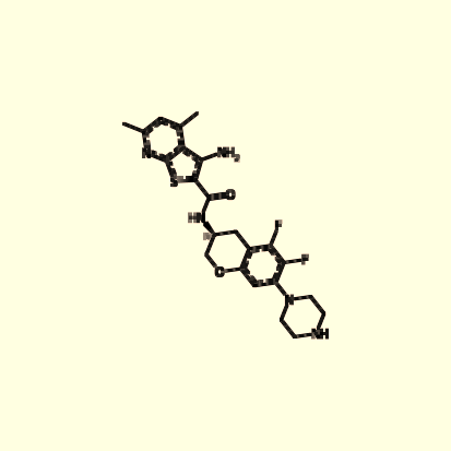 Cc1cc(C)c2c(N)c(C(=O)N[C@@H]3COc4cc(N5CCNCC5)c(F)c(F)c4C3)sc2n1